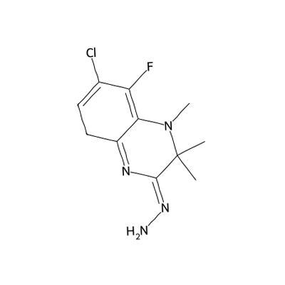 CN1C2=C(F)C(Cl)=CCC2=NC(=NN)C1(C)C